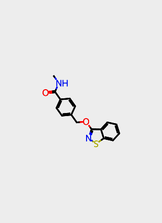 CNC(=O)c1ccc(COc2nsc3ccccc23)cc1